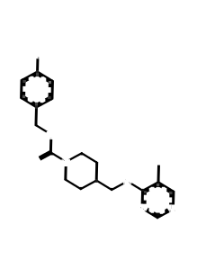 Cc1cncnc1NCC1CCN(C(=O)OCc2ccc(Cl)cc2)CC1